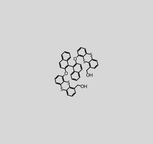 OCc1cccc2c1Sc1c(Oc3ccc4ccccc4c3-c3c(Oc4cccc5c4Sc4c(CO)cccc4S5)ccc4ccccc34)cccc1S2